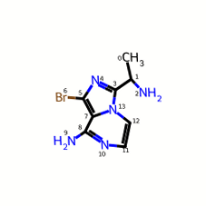 CC(N)c1nc(Br)c2c(N)nccn12